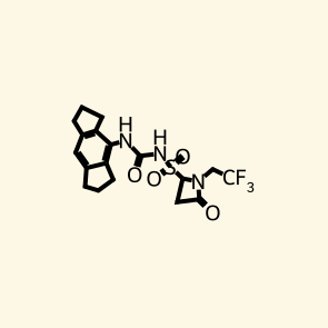 O=C(Nc1c2c(cc3c1CCC3)CCC2)NS(=O)(=O)C1CC(=O)N1CC(F)(F)F